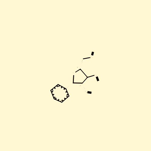 O=NC[C@H]1N[C@@H](c2ccccc2)[C@@H](N=O)C1N=O